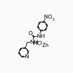 Cl.O=C(NCc1cccnc1)Nc1ccc([N+](=O)[O-])cc1.[Zn]